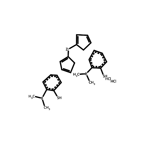 C1=CC[C]([Zr][C]2=CC=CC2)=C1.CB(C)c1ccccc1S.CB(C)c1ccccc1S.Cl.Cl